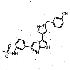 CS(=O)(=O)Nc1cccc(-c2cnc3[nH]cc(-c4cnn(Cc5cccc(C#N)c5)c4)c3c2)c1